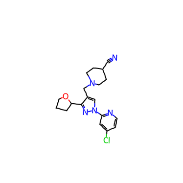 N#CC1CCN(Cc2cn(-c3cc(Cl)ccn3)nc2C2CCCO2)CC1